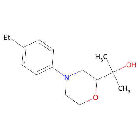 CCc1ccc(N2CCOC(C(C)(C)O)C2)cc1